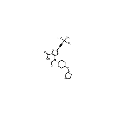 CC(C)(C)C#Cc1cc(N(C=O)[C@H]2CC[C@H](O[C@H]3CCNC3)CC2)c(C(=O)O)s1